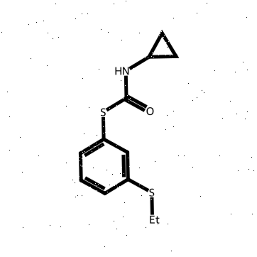 CCSc1cccc(SC(=O)NC2CC2)c1